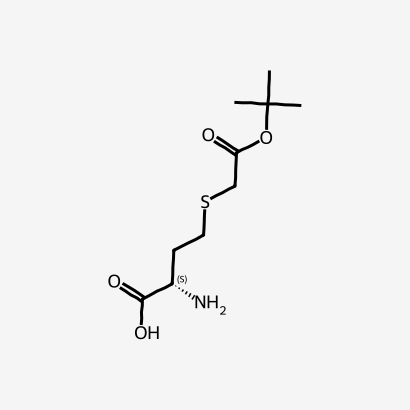 CC(C)(C)OC(=O)CSCC[C@H](N)C(=O)O